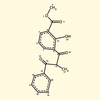 COC(=O)c1cccc(C(=O)C(C)C(=O)c2cccnc2)c1O